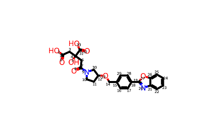 O=C(O)CC(O)(CC(=O)N1CCC(OCc2ccc(-c3nc4ccccc4o3)cc2)C1)C(=O)O